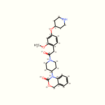 COc1cc(OC2CCNCC2)ccc1CC(=O)N1CCC(N2C(=O)OCc3ccccc32)CC1